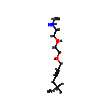 CCCC(C)(C)CC#CCOCCOCCNC(C)CC